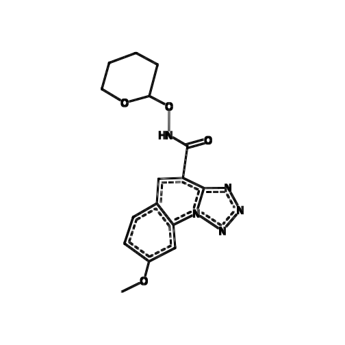 COc1ccc2cc(C(=O)NOC3CCCCO3)c3nnnn3c2c1